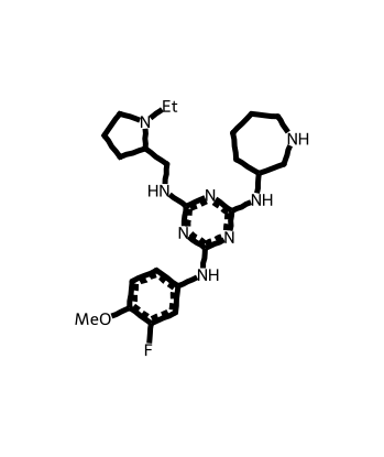 CCN1CCCC1CNc1nc(Nc2ccc(OC)c(F)c2)nc(NC2CCCCNC2)n1